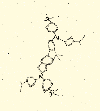 CC(C)c1ccc(N(c2ccc([Si](C)(C)C)cc2)c2ccc3c(c2)C(C)(C)c2cc4cc(N(c5ccc(C(C)C)cc5)c5ccc([Si](C)(C)C)cc5)ccc4cc2-3)cc1